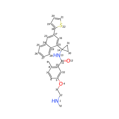 CNCCOc1ccc(C)c(C(=O)NC2(c3cc(-c4cccs4)cc4ccccc34)CC2)c1